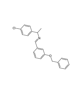 CC(/N=C/c1cccc(OCc2ccccc2)c1)c1ccc(Cl)cc1